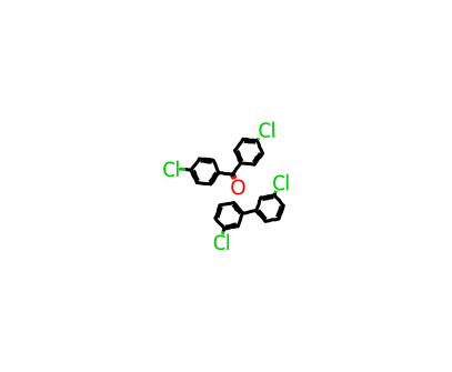 Clc1cccc(-c2cccc(Cl)c2)c1.O=C(c1ccc(Cl)cc1)c1ccc(Cl)cc1